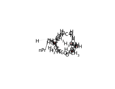 CCC[C@H]1[C@@H]2[C@@H](O)CC3C[C@H]4CC[C@]3(C)[C@H]2CC[C@]1(C)C[C@H](C)CCCOC(=O)CC[C@@H](C)[C@H]1CC[C@H]2[C@@H]3[C@@H](O)CC5C[C@@H](CC[C@]5(C)[C@H]3CC[C@]12C)NC(=O)CCCC(=O)N4